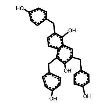 Oc1ccc(Cc2cc3c(O)c(Cc4ccc(O)cc4)ccc3c(Cc3ccc(O)cc3)c2O)cc1